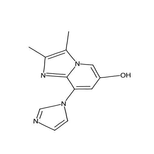 Cc1nc2c(-n3ccnc3)cc(O)cn2c1C